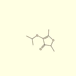 CC1=C(OC(C)C)C(=O)C(C)O1